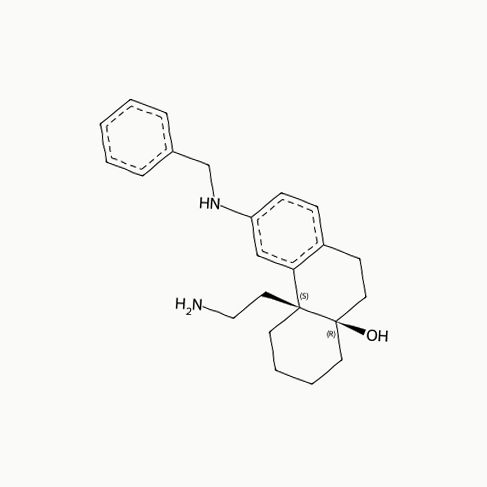 NCC[C@]12CCCC[C@@]1(O)CCc1ccc(NCc3ccccc3)cc12